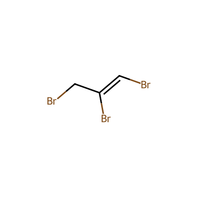 BrC=C(Br)CBr